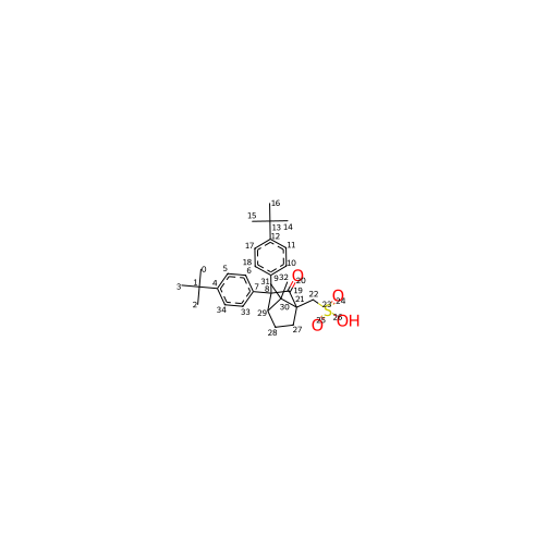 CC(C)(C)c1ccc(C2(c3ccc(C(C)(C)C)cc3)C(=O)C3(CS(=O)(=O)O)CCC2C3(C)C)cc1